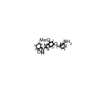 COc1cc(OCc2ccnc(N)n2)cc2sc(N[C@H]3CCCC[C@@H]3O)nc12